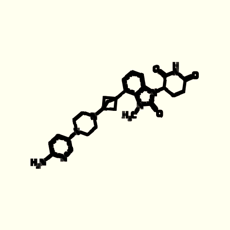 Cn1c(=O)n(C2CCC(=O)NC2=O)c2cccc(C34CC(N5CCN(c6ccc(N)nc6)CC5)(C3)C4)c21